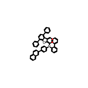 c1ccc(-c2ccccc2N(c2ccc(-c3ccc4ccccc4c3)cc2)c2cccc3c2oc2c(-c4ccccc4)ccc(-c4ccccc4)c23)cc1